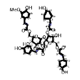 COc1cc(/C=C/C(=O)OC[C@H]2O[C@H](O[C@@]3(COC(=O)/C=C/c4ccc(O)cc4)O[C@H](COC(=O)/C=C/c4ccc(O)cc4)[C@@H](O)[C@@H]3OC(=O)/C=C/c3ccc(O)cc3)[C@H](O)[C@@H](O)[C@@H]2O)ccc1O